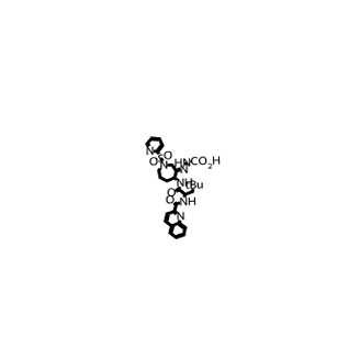 CC(C)(C)CC(NC(=O)c1ccc2ccccc2n1)C(=O)NC1CCCN(S(=O)(=O)c2ccccn2)CC1=NNC(=O)O